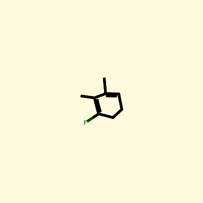 CC1=CCCC(F)=C1C